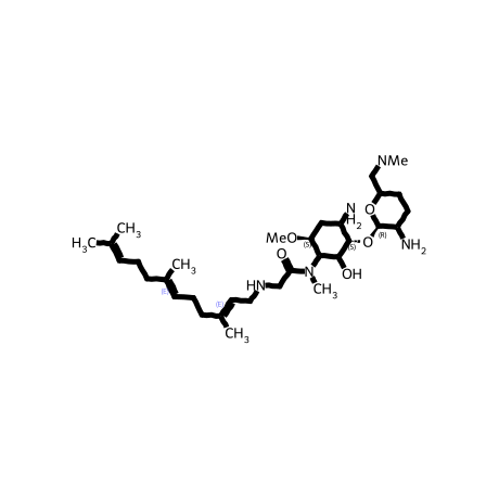 CNCC1CCC(N)[C@@H](O[C@H]2C(N)C[C@H](OC)C(N(C)C(=O)CNC/C=C(\C)CC/C=C(\C)CCC=C(C)C)C2O)O1